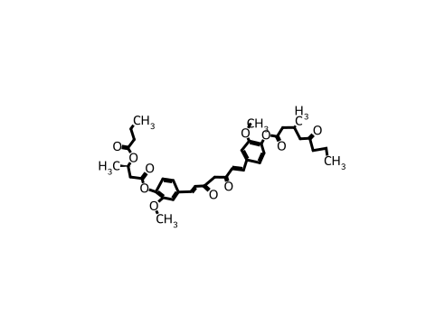 CCCC(=O)C[C@H](C)CC(=O)Oc1ccc(/C=C/C(=O)CC(=O)/C=C/c2ccc(OC(=O)C[C@@H](C)OC(=O)CCC)c(OC)c2)cc1OC